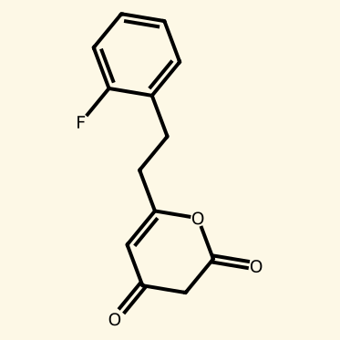 O=C1C=C(CCc2ccccc2F)OC(=O)C1